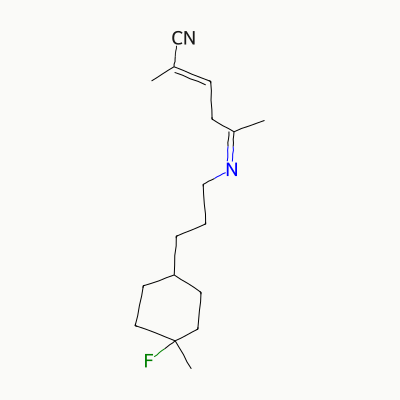 C/C(C/C=C(\C)C#N)=N/CCCC1CCC(C)(F)CC1